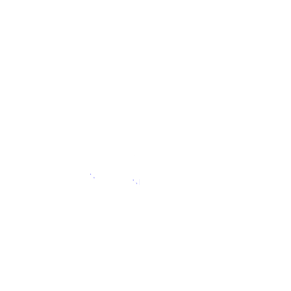 C1CCCC(C2C[N]CCN2)CCC1